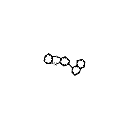 c1ccc2c(c1)Nc1cc(-c3cccc4ccccc34)ccc1S2